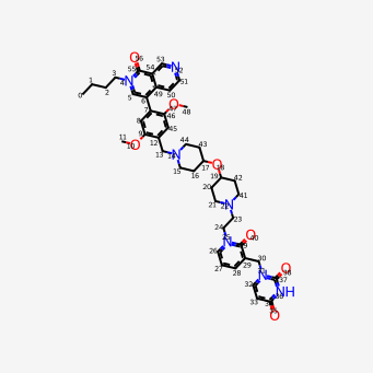 CCCCn1cc(-c2cc(OC)c(CN3CCC(OC4CCN(CCn5cccc(Cn6ccc(=O)[nH]c6=O)c5=O)CC4)CC3)cc2OC)c2ccncc2c1=O